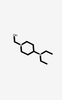 CCN(CC)C1CCN(CO)CC1